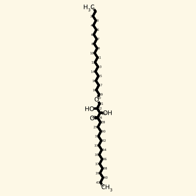 CCCCCCCCCCCCCCCCCCCCOCC(O)C(O)C(=O)CCCCCCCCCCCCCCC